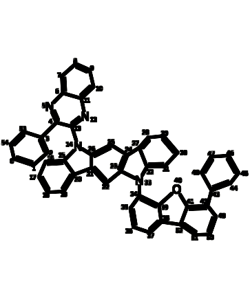 c1ccc(-c2nc3ccccc3nc2-n2c3ccccc3c3cc4c(cc32)c2ccccc2n4-c2cccc3c2oc2c(-c4ccccc4)cccc23)cc1